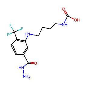 NNC(=O)c1ccc(C(F)(F)F)c(NCCCCNC(=O)O)c1